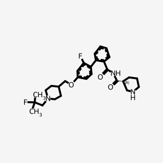 CC(C)(F)CN1CCC(COc2ccc(-c3ccccc3C(=O)NC(=O)[C@@H]3CCCNC3)c(F)c2)CC1